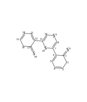 S=C1CC=CC=C1C1=CSC=C(C2=CC=CCC2=S)S1